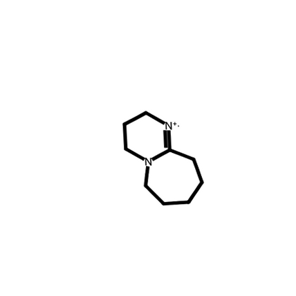 C1CCC2=[N+]CCCN2CC1